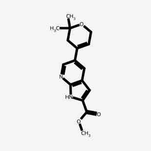 COC(=O)c1cc2cc(C3=CCOC(C)(C)C3)cnc2[nH]1